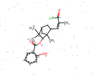 C/C(=C/C1CC2CC1(C)C(OC(=O)c1ccccc1O)C2(C)C)C(=O)Cl